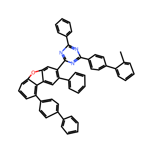 Cc1ccccc1-c1ccc(-c2nc(-c3ccccc3)nc(-c3cc4oc5cccc(-c6ccc(-c7ccccc7)cc6)c5c4cc3-c3ccccc3)n2)cc1